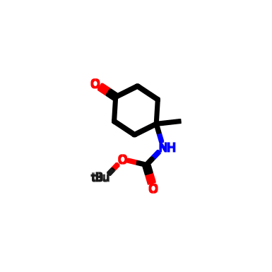 CC1(NC(=O)OC(C)(C)C)CCC(=O)CC1